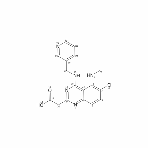 CNc1c(Cl)ccc2nc(CC(=O)O)nc(NCc3cccnc3)c12